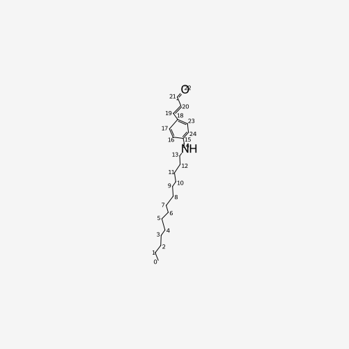 CCCCCCCCCCCCCCNc1ccc(C=C[C]=O)cc1